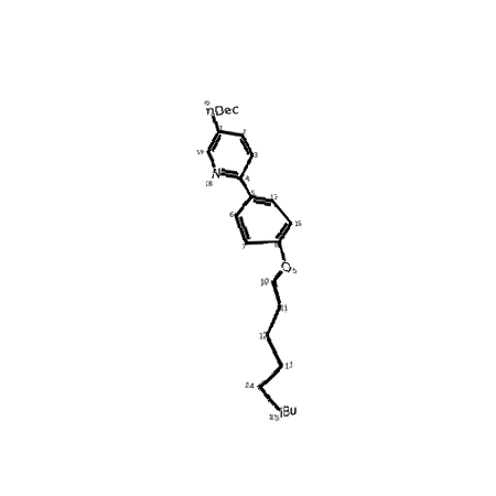 CCCCCCCCCCc1ccc(-c2ccc(OCCCCCC(C)CC)cc2)nc1